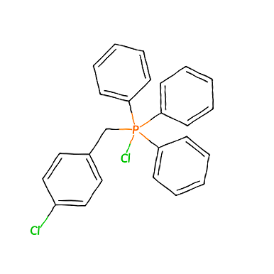 Clc1ccc(CP(Cl)(c2ccccc2)(c2ccccc2)c2ccccc2)cc1